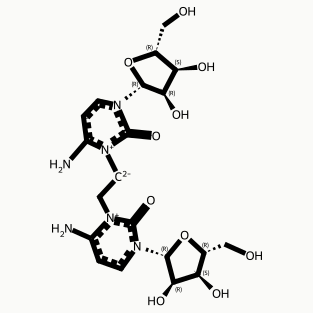 Nc1ccn([C@@H]2O[C@H](CO)[C@@H](O)[C@H]2O)c(=O)[n+]1[C-2]C[n+]1c(N)ccn([C@@H]2O[C@H](CO)[C@@H](O)[C@H]2O)c1=O